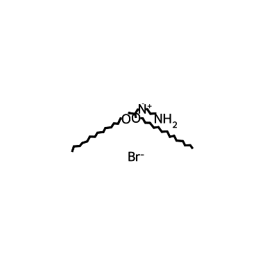 CCCCCCCCCCCCCCOCC(C[N+](C)(C)CCCN)OCCCCCCCCCCCCCC.[Br-]